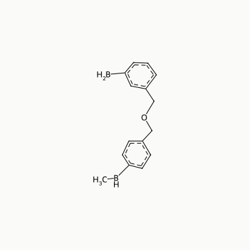 Bc1cccc(COCc2ccc(BC)cc2)c1